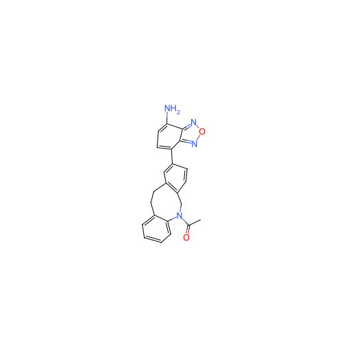 CC(=O)N1Cc2ccc(-c3ccc(N)c4nonc34)cc2CCc2ccccc21